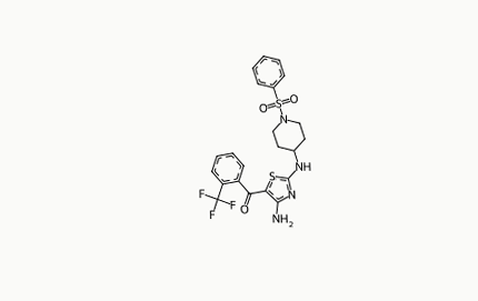 Nc1nc(NC2CCN(S(=O)(=O)c3ccccc3)CC2)sc1C(=O)c1ccccc1C(F)(F)F